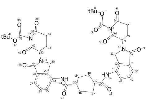 CC(C)(C)OC(=O)N1C(=O)CCC(N2Cc3c(NC(=O)[C@H]4CC[C@@H](C(=O)Nc5cccc6c5CN(C5CCC(=O)N(C(=O)OC(C)(C)C)C5=O)C6=O)CC4)cccc3C2=O)C1=O